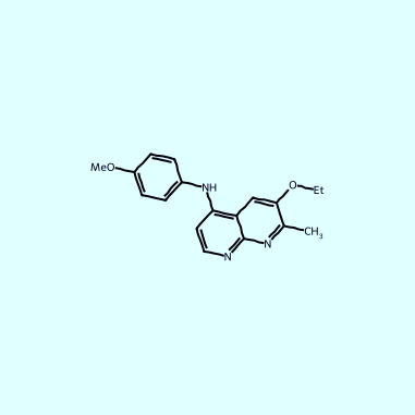 CCOc1cc2c(Nc3ccc(OC)cc3)ccnc2nc1C